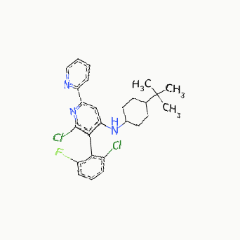 CC(C)(C)C1CCC(Nc2cc(-c3ccccn3)nc(Cl)c2-c2c(F)cccc2Cl)CC1